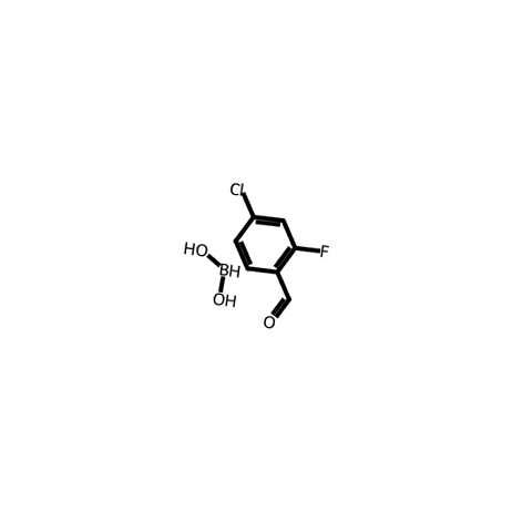 O=Cc1ccc(Cl)cc1F.OBO